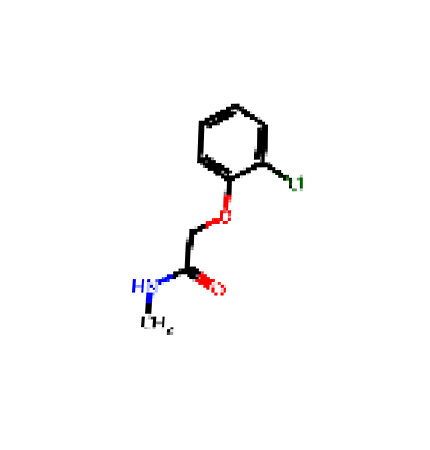 CNC(=O)COc1ccccc1Cl